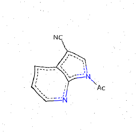 CC(=O)n1cc(C#N)c2cccnc21